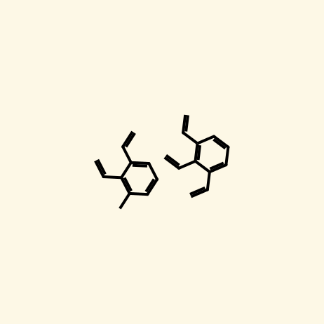 C=Cc1cccc(C)c1C=C.C=Cc1cccc(C=C)c1C=C